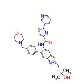 CC(C)(O)CCn1cc2cc(NC(=O)c3csc(-c4cccnc4)n3)c(-c3ccc(CN4CCOCC4)cc3)cc2n1